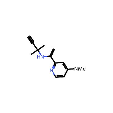 C#CC(C)(C)NC(=C)c1cc(NC)ccn1